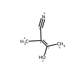 CC(O)=C(C)C#N